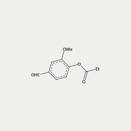 CCC(=O)Oc1ccc(C=O)cc1OC